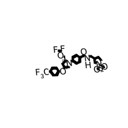 CS(=O)(=O)N1CCC(CNC(=O)c2ccc(N3C[C@@H](Oc4ccc(C(F)(F)F)cc4)C[C@H]3COC(F)F)cc2)C1